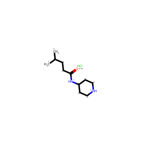 CC(C)CCC(=O)NC1CCNCC1.Cl